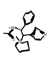 CC(=O)N[C@@H](c1ccccc1)C(c1ccncc1)[N+]1(C)CCCC1